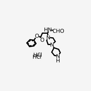 Cl.Cl.O=CNC(CC(=O)Oc1ccccc1)N1CCN(C2CCNCC2)CC1